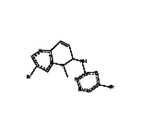 CC(C)c1cnnc(NC2C=Cc3ncc(Br)cc3N2C)c1